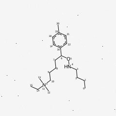 CCCCNOC(CCCC[N+](C)(C)CC)c1ccc(C)cc1